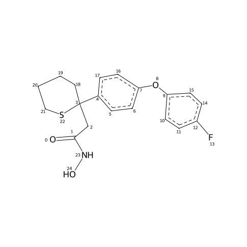 O=C(CC1(c2ccc(Oc3ccc(F)cc3)cc2)CCCCS1)NO